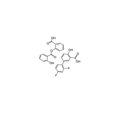 O=C(O)c1cc(-c2ccc(F)cc2F)ccc1O.O=C(Oc1ccccc1C(=O)O)c1ccccc1O